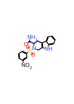 NC(=O)C1Cc2c([nH]c3ccccc23)CN1S(=O)(=O)c1cccc([N+](=O)[O-])c1